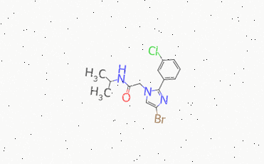 CC(C)NC(=O)Cn1cc(Br)nc1-c1cccc(Cl)c1